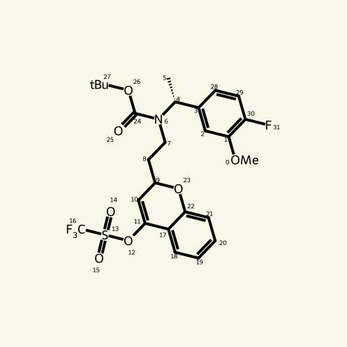 COc1cc([C@@H](C)N(CCC2C=C(OS(=O)(=O)C(F)(F)F)c3ccccc3O2)C(=O)OC(C)(C)C)ccc1F